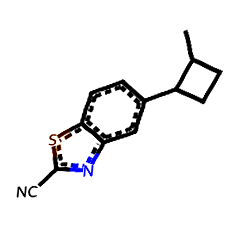 CC1CCC1c1ccc2sc(C#N)nc2c1